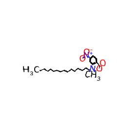 CCCCCCCCCCCCCCCC(C)N1COC(=O)c2ccc([N+](=O)[O-])cc21